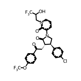 O=C(C[C@@H]1C(=O)N(c2cccn(CC(O)C(F)(F)F)c2=O)C[C@H]1c1ccc(Cl)cc1)c1ccc(OC(F)(F)F)cc1